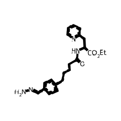 CCOC(=O)C(Cc1ccccn1)NC(=O)CCCCc1ccc(C=NN)cc1